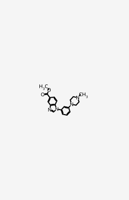 COC(=O)c1ccc2c(c1)ncn2-c1cccc(N2CCN(C)CC2)c1